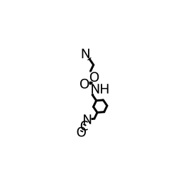 N#CCCOC(=O)NCC1CCCC(CN=C=O)C1